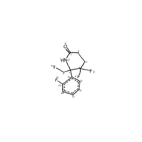 O=C1CCC(F)(F)C(CF)(c2ccccc2F)N1